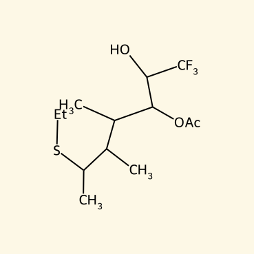 CCSC(C)C(C)C(C)C(OC(C)=O)C(O)C(F)(F)F